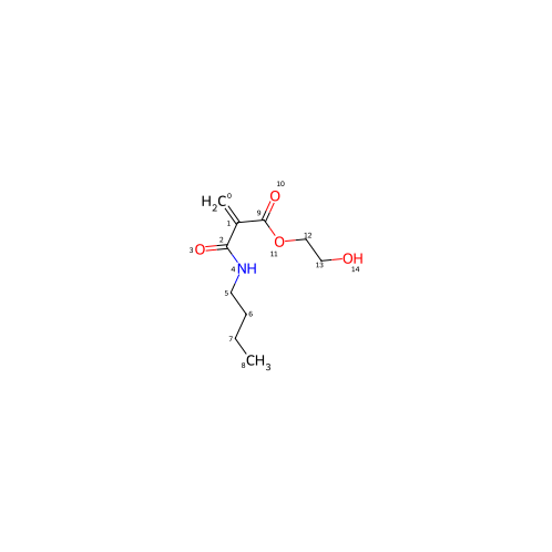 C=C(C(=O)NCCCC)C(=O)OCCO